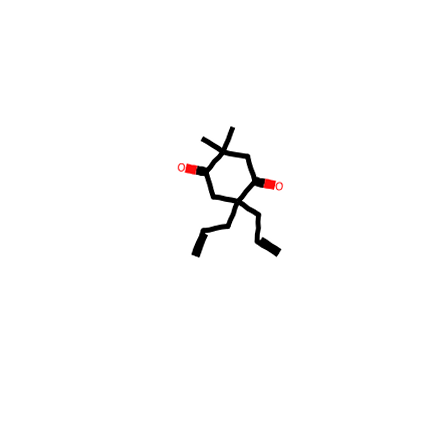 C=CCC1(CC=C)CC(=O)C(C)(C)CC1=O